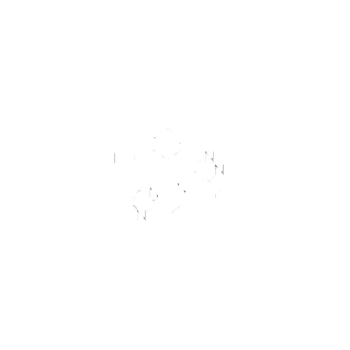 Cc1cccc(-c2nn3c(c2N2C=Cc4nccn4C2)OCC3)c1